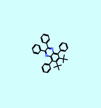 CC(C)(C)c1c(C(C)(C)C)c(-c2ccccc2)c2nc(-c3ccccc3)c(-c3ccccc3)nc2c1-c1ccccc1